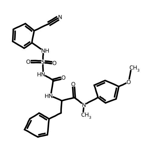 COc1ccc(N(C)C(=O)C(Cc2ccccc2)NC(=O)NS(=O)(=O)Nc2ccccc2C#N)cc1